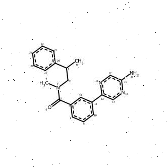 CC(CN(C)C(=O)c1cccc(-c2cnc(N)cn2)c1)c1ccccc1